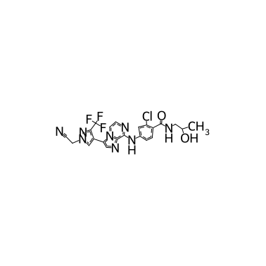 CC(O)CNC(=O)c1ccc(Nc2nccn3c(-c4cn(CC#N)nc4C(F)(F)F)cnc23)cc1Cl